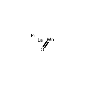 [La].[O]=[Mn].[Pr]